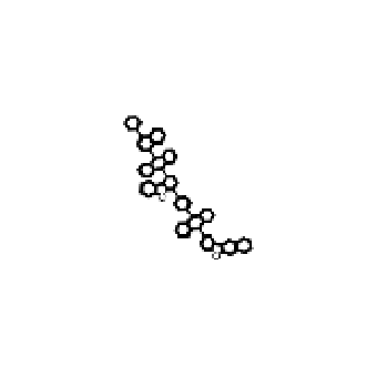 c1ccc(-c2ccc(-c3c4ccccc4c(-c4ccc(-c5ccc(-c6c7ccccc7c(-c7ccc8oc9cc%10ccccc%10cc9c8c7)c7ccccc67)cc5)c5oc6ccccc6c45)c4ccccc34)c3ccccc23)cc1